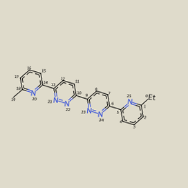 CCc1cccc(-c2ccc(-c3ccc(-c4cccc(C)n4)nn3)nn2)n1